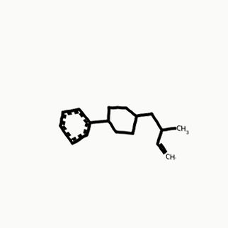 [CH]=CC(C)CC1CCC(c2ccccc2)CC1